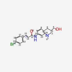 CN1CC(CO)Cc2ccc(NC(=O)/C=C/c3ccc(Br)cc3)cc21